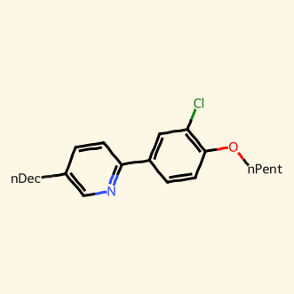 CCCCCCCCCCc1ccc(-c2ccc(OCCCCC)c(Cl)c2)nc1